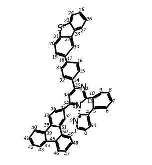 c1cncc(-c2ccccc2-c2nc(-c3ccc(-c4ccc5sc6ccccc6c5c4)cc3)cc(-c3ccc4c5ccccc5c5ccccc5c4c3)n2)c1